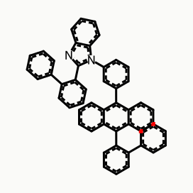 c1ccc(-c2ccccc2-c2c3ccccc3c(-c3cccc(-n4c(-c5ccccc5-c5ccccc5)nc5ccccc54)c3)c3ccccc23)cc1